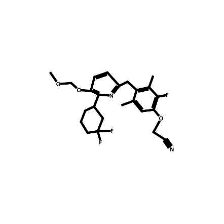 COCOc1ccc(Cc2c(C)cc(OCC#N)c(F)c2C)nc1C1CCCC(F)(F)C1